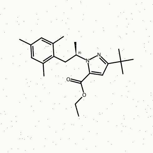 CCOC(=O)c1cc(C(C)(C)C)nn1[C@H](C)Cc1c(C)cc(C)cc1C